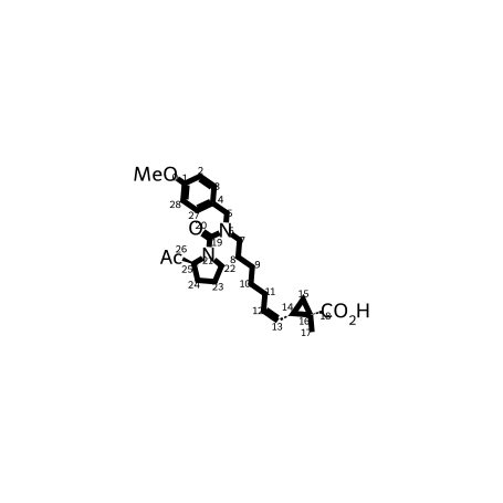 COc1ccc(CN(CCCCC/C=C\[C@@H]2C[C@]2(C)C(=O)O)C(=O)N2CCC[C@H]2C(C)=O)cc1